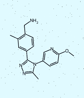 COc1ccc(-n2c(C)nnc2-c2ccc(CN)c(C)c2)cn1